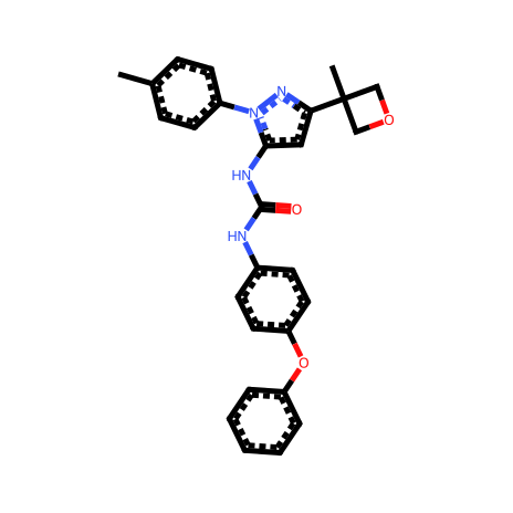 Cc1ccc(-n2nc(C3(C)COC3)cc2NC(=O)Nc2ccc(Oc3ccccc3)cc2)cc1